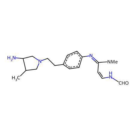 CNC(/C=C\NC=O)=N/c1ccc(CCN2CC(C)C(N)C2)cc1